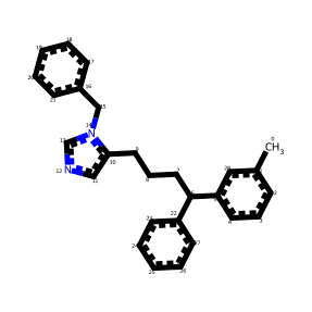 Cc1cccc(C(CCCc2cncn2Cc2ccccc2)c2ccccc2)c1